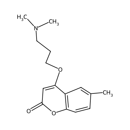 Cc1ccc2oc(=O)cc(OCCCN(C)C)c2c1